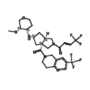 CO[C@@H]1COCC[C@@H]1N[C@@H]1C[C@H]2CN(C(=O)C=CC(F)(F)F)C[C@@]2(C(=O)N2CCc3ncc(C(F)(F)F)cc3C2)C1